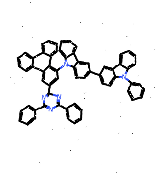 c1ccc(-c2nc(-c3ccccc3)nc(-c3cc(-n4c5ccccc5c5cc(-c6ccc7c(c6)c6ccccc6n7-c6ccccc6)ccc54)c4c5ccccc5c5ccccc5c4c3)n2)cc1